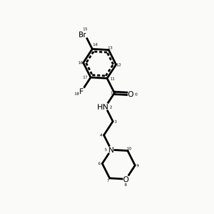 O=C(NCCN1CCOCC1)c1ccc(Br)cc1F